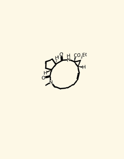 CCOC(=O)[C@@]12C[C@@H]1/C=C\CCCCN(C)C(=O)[C@@H]1CCC[C@H]1C(=O)N2